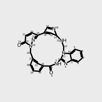 O=C1Nc2nc3ccccc3n2CNC2C=C(C=N2)c2ccc(=O)n(n2)Cc2cccc1c2